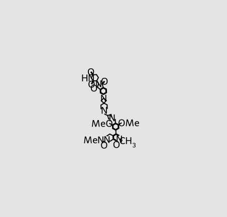 CNC(=O)N1CCc2c(-c3cc(OC)c(CN4CC(CN5CCC6(CC5)CN(c5ccc7c(c5)C(=O)N(C5CCC(=O)NC5=O)C7=O)C6)C4)c(OC)c3)cn(C)c(=O)c2C1